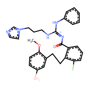 Bc1ccc(OC)c(CCc2c(F)cccc2C(=O)/N=C(\NCCCn2ccnc2)Nc2ccccc2)c1